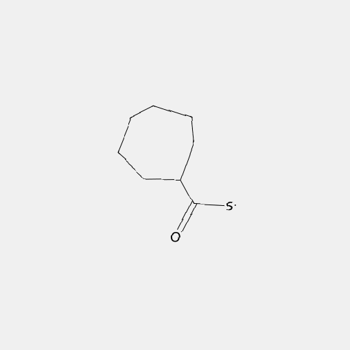 O=C([S])C1CCCCCC1